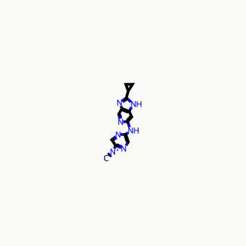 [C-]#[N+]c1cnc(Nc2cc3[nH]c(C4CC4)nc3cn2)cn1